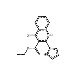 CCOC(=O)c1c(-c2ccc[nH]2)[nH]c2ccccc2c1=O